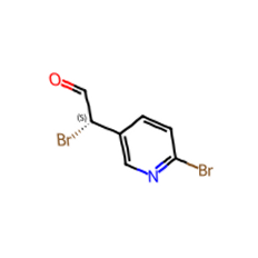 O=C[C@@H](Br)c1ccc(Br)nc1